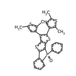 Cc1cc(-c2sc3c4c(sc3c2-c2cc(C)sc2C)-c2ccccc2P4(=O)c2ccccc2)c(C)s1